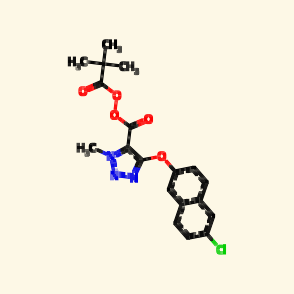 Cn1nnc(Oc2ccc3cc(Cl)ccc3c2)c1C(=O)OOC(=O)C(C)(C)C